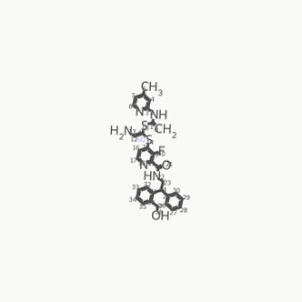 C=C(Nc1cc(C)ccn1)S/C(=C\N)Sc1ccnc(C(=O)NCC(c2ccccc2)c2ccccc2CO)c1F